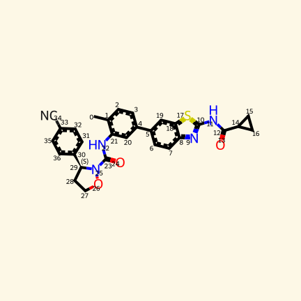 Cc1ccc(-c2ccc3nc(NC(=O)C4CC4)sc3c2)cc1NC(=O)N1OCC[C@H]1c1ccc(C#N)cc1